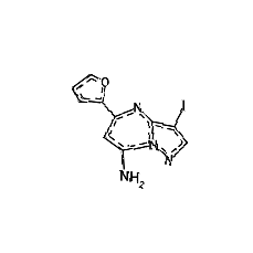 Nc1cc(-c2ccco2)nc2c(I)cnn12